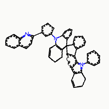 C1=CC2=C(CC1)C1(c3ccccc3-c3c1ccc1c4c(n(-c5ccccc5)c31)CCC=C4)c1ccccc1N2c1cccc(-c2ccc3ccccc3n2)c1